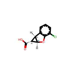 O=C(O)[C@H]1[C@@H]2Oc3c(Cl)cccc3[C@@H]21